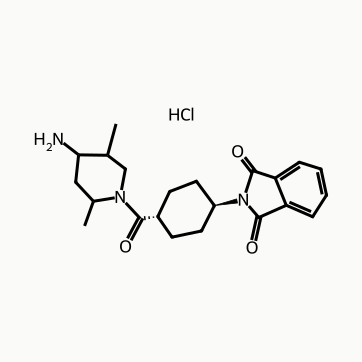 CC1CN(C(=O)[C@H]2CC[C@H](N3C(=O)c4ccccc4C3=O)CC2)C(C)CC1N.Cl